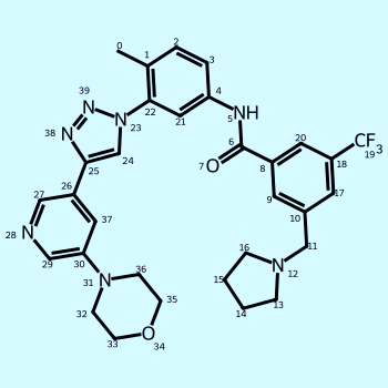 Cc1ccc(NC(=O)c2cc(CN3CCCC3)cc(C(F)(F)F)c2)cc1-n1cc(-c2cncc(N3CCOCC3)c2)nn1